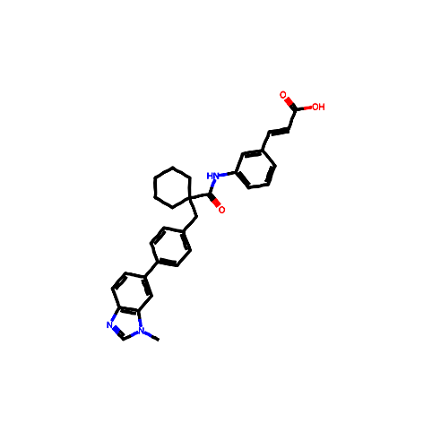 Cn1cnc2ccc(-c3ccc(CC4(C(=O)Nc5cccc(/C=C/C(=O)O)c5)CCCCC4)cc3)cc21